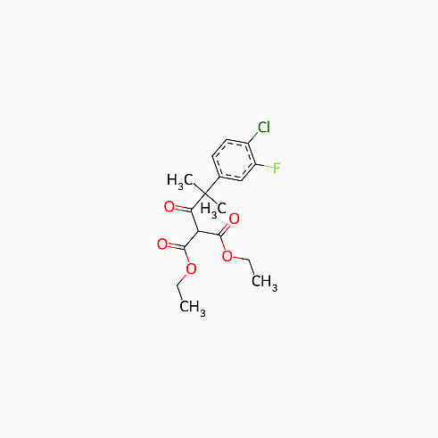 CCOC(=O)C(C(=O)OCC)C(=O)C(C)(C)c1ccc(Cl)c(F)c1